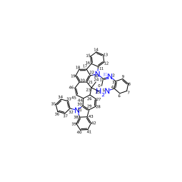 C/C(=N\C1=C(N)CCC=C1)n1c2ccccc2c2ccc3c(c21)C(C)(C)C1C=Cc2c(n(-c4ccccc4)c4ccccc24)C1C=C3